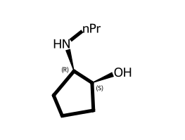 CCCN[C@@H]1CCC[C@@H]1O